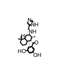 C[C@@H]1[C@H](NCc2cnc[nH]2)C[C@H]2C(C)(C)CCC[C@]2(C)[C@H]1C(=O)c1cc(O)cc(O)c1